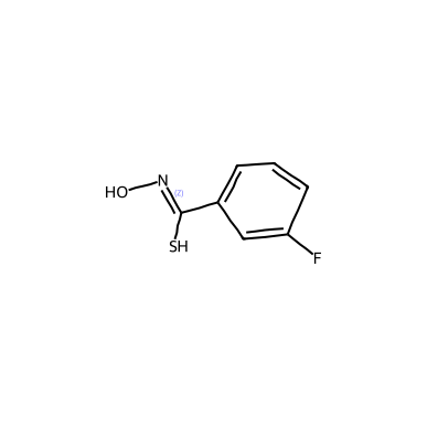 O/N=C(\S)c1cccc(F)c1